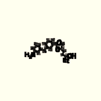 CCC(O)CC[C@@H]1CO[C@@H](c2cccc(Cc3cccc(N)c3)c2)O1